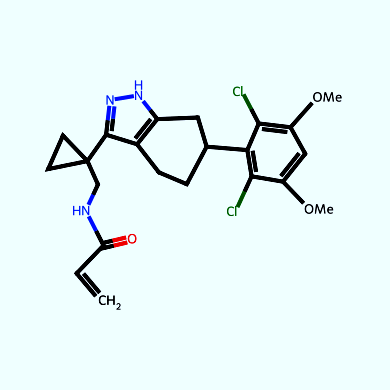 C=CC(=O)NCC1(c2n[nH]c3c2CCC(c2c(Cl)c(OC)cc(OC)c2Cl)C3)CC1